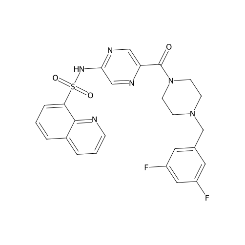 O=C(c1cnc(NS(=O)(=O)c2cccc3cccnc23)cn1)N1CCN(Cc2cc(F)cc(F)c2)CC1